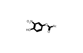 CC(=O)C(=O)Oc1ccc(O)c([N+](=O)[O-])c1